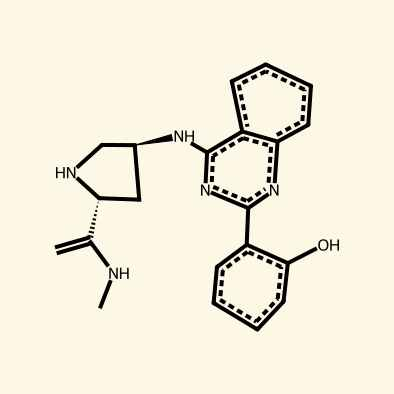 C=C(NC)[C@H]1C[C@H](Nc2nc(-c3ccccc3O)nc3ccccc23)CN1